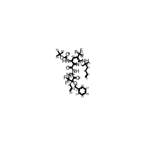 C=CCCC(C)(C)Nc1nc(C(=O)NNC(=O)[C@](CC=C)(OCc2ccccc2)C(F)(F)F)c(NC(=O)OC(C)(C)C)cc1C(F)(F)F